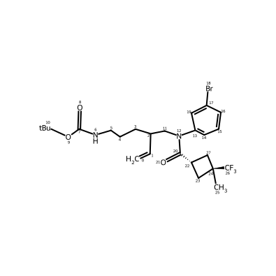 C=CC(CCCNC(=O)OC(C)(C)C)CN(c1cccc(Br)c1)C(=O)[C@H]1C[C@](C)(C(F)(F)F)C1